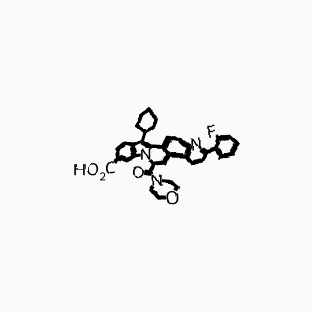 O=C(O)c1ccc2c(C3CCCCC3)c3n(c2c1)C(C(=O)N1CCOCC1)Cc1c-3ccc2nc(-c3ccccc3F)ccc12